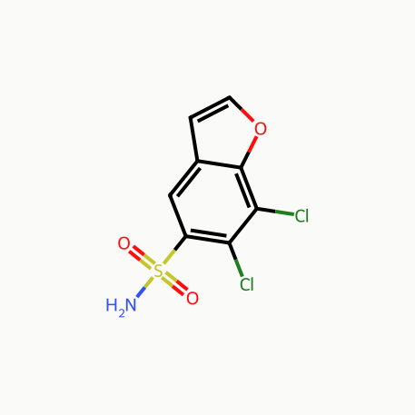 NS(=O)(=O)c1cc2ccoc2c(Cl)c1Cl